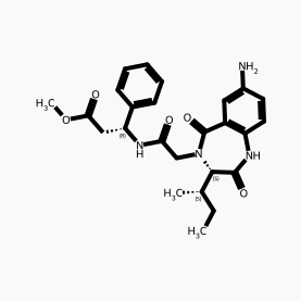 CC[C@H](C)[C@H]1C(=O)Nc2ccc(N)cc2C(=O)N1CC(=O)N[C@H](CC(=O)OC)c1ccccc1